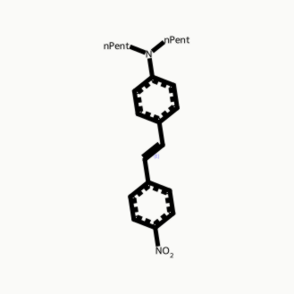 CCCCCN(CCCCC)c1ccc(/C=C/c2ccc([N+](=O)[O-])cc2)cc1